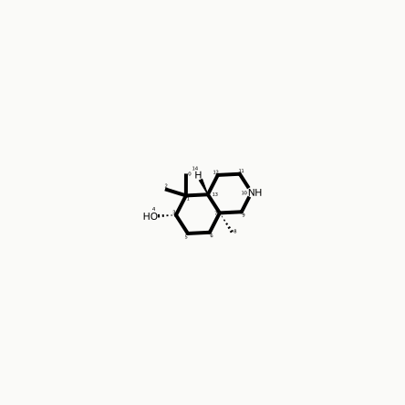 CC1(C)[C@@H](O)CC[C@]2(C)CNCC[C@@H]12